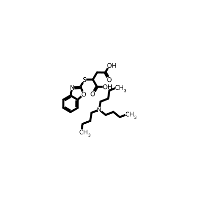 CCCCN(CCCC)CCCC.O=C(O)CC(Sc1nc2ccccc2o1)C(=O)O